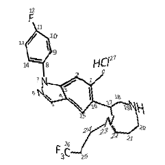 Cc1cc2c(cnn2-c2ccc(F)cc2)cc1C1CNCCCN1CCC(F)(F)F.Cl